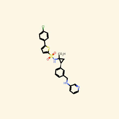 O=C(O)C1(NS(=O)(=O)c2ccc(-c3ccc(Cl)cc3)s2)C[C@H]1c1cccc(CNc2cccnc2)c1